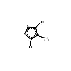 Cc1c(O)cnn1C